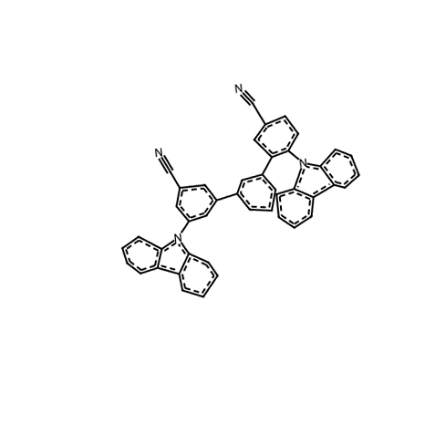 N#Cc1cc(-c2cccc(-c3cc(C#N)ccc3-n3c4ccccc4c4ccccc43)c2)cc(-n2c3ccccc3c3ccccc32)c1